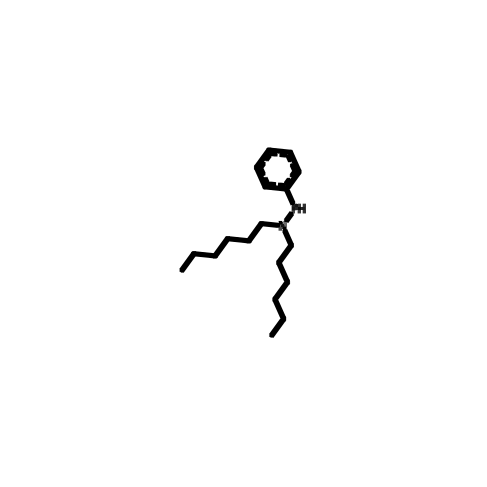 CCCCCCN(CCCCCC)Pc1ccccc1